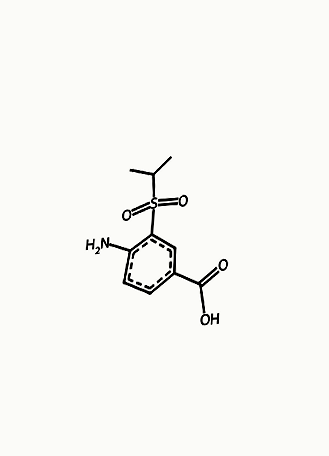 CC(C)S(=O)(=O)c1cc(C(=O)O)ccc1N